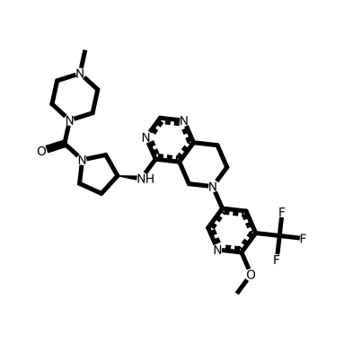 COc1ncc(N2CCc3ncnc(N[C@H]4CCN(C(=O)N5CCN(C)CC5)C4)c3C2)cc1C(F)(F)F